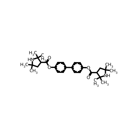 CC1(C)CC(C(=O)Oc2ccc(-c3ccc(OC(=O)C4CC(C)(C)NC4(C)C)cc3)cc2)C(C)(C)N1